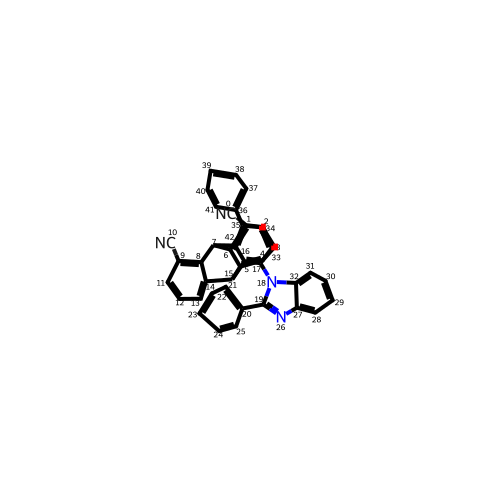 N#Cc1cccc2c1C1c3c(C#N)cccc3C2c2c(-n3c(-c4ccccc4)nc4ccccc43)ccc(-c3ccccc3)c21